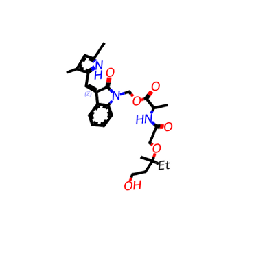 CCC(C)(CCO)OCC(=O)NC(C)C(=O)OCN1C(=O)/C(=C\c2[nH]c(C)cc2C)c2ccccc21